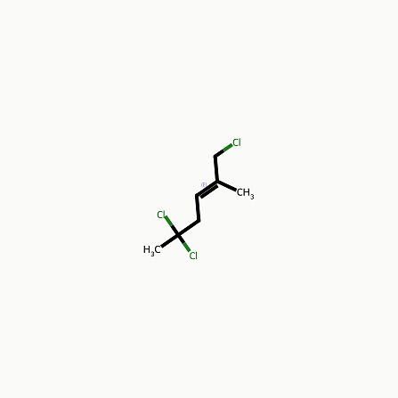 C/C(=C\CC(C)(Cl)Cl)CCl